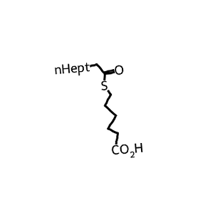 CCCCCCCCC(=O)SCCCCCC(=O)O